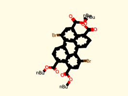 CCCCOC(=O)c1ccc2c3c(Br)cc(C(=O)OCCCC)c4c(C(=O)OCCCC)ccc(c5c(Br)cc(C(=O)OCCCC)c1c25)c43